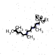 CCOP(=O)(/C=C/C(C)=C/C/C=C(\C)CCC=C(C)C)OCC